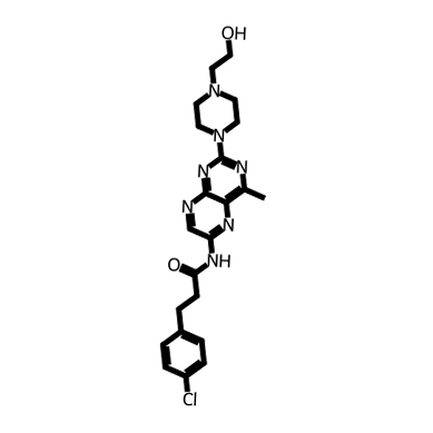 Cc1nc(N2CCN(CCO)CC2)nc2ncc(NC(=O)CCc3ccc(Cl)cc3)nc12